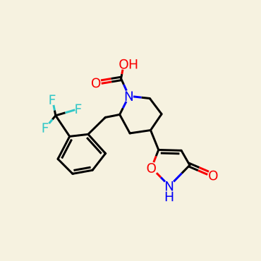 O=C(O)N1CCC(c2cc(=O)[nH]o2)CC1Cc1ccccc1C(F)(F)F